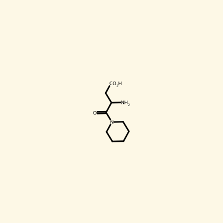 NC(CC(=O)O)C(=O)N1CCCCC1